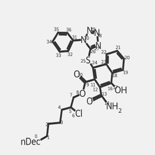 CCCCCCCCCCCCCCC(Cl)COC(=O)c1c(C(N)=O)c(O)c2ccccc2c1Sc1nnnn1-c1ccccc1